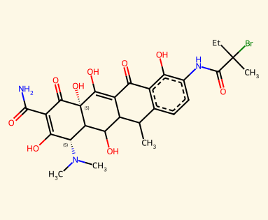 CCC(C)(Br)C(=O)Nc1ccc2c(c1O)C(=O)C1=C(O)[C@]3(O)C(=O)C(C(N)=O)=C(O)[C@@H](N(C)C)C3C(O)C1C2C